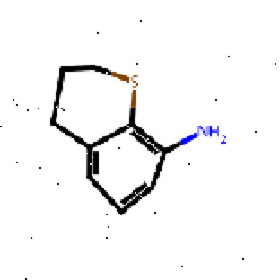 Nc1cccc2c1SCCC2